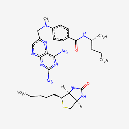 CN(Cc1cnc2nc(N)nc(N)c2n1)c1ccc(C(=O)N[C@@H](CCC(=O)O)C(=O)O)cc1.O=C(O)CCCC[C@@H]1SC[C@@H]2NC(=O)N[C@@H]21